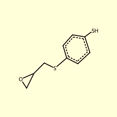 Sc1ccc(SCC2CO2)cc1